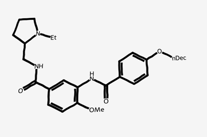 CCCCCCCCCCOc1ccc(C(=O)Nc2cc(C(=O)NCC3CCCN3CC)ccc2OC)cc1